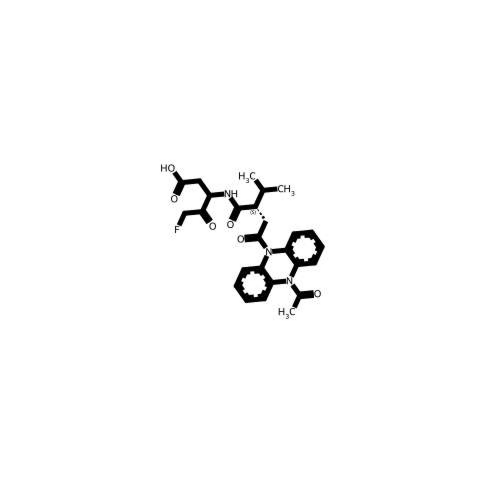 CC(=O)N1c2ccccc2N(C(=O)C[C@H](C(=O)NC(CC(=O)O)C(=O)CF)C(C)C)c2ccccc21